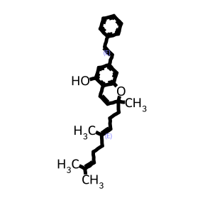 CC(C)=CCC/C(C)=C/CCC1(C)C=Cc2c(O)cc(/C=C/c3ccccc3)cc2O1